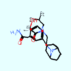 CCC(CC)CN(CCN1C2CCC1CC(c1cccc(C(N)=O)c1)C2)C(=O)[C@H](C)O